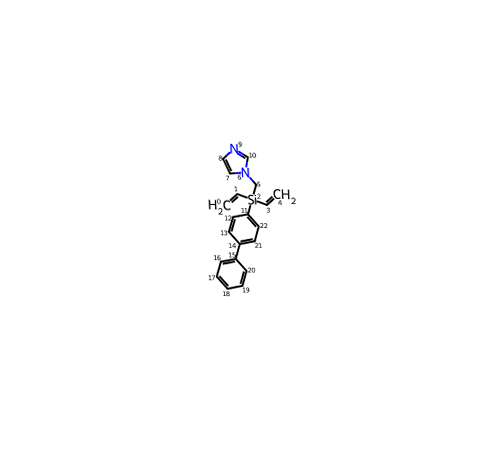 C=C[Si](C=C)(Cn1ccnc1)c1ccc(-c2ccccc2)cc1